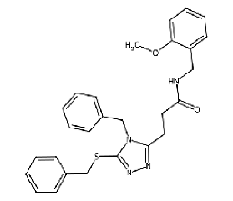 COc1ccccc1CNC(=O)CCc1nnc(SCc2ccccc2)n1Cc1ccccc1